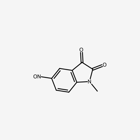 CN1C(=O)C(=O)c2cc(N=O)ccc21